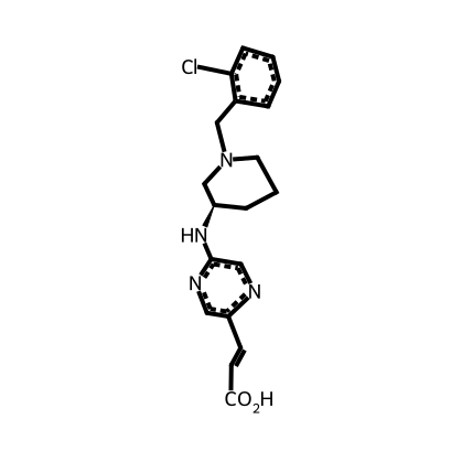 O=C(O)C=Cc1cnc(N[C@@H]2CCCN(Cc3ccccc3Cl)C2)cn1